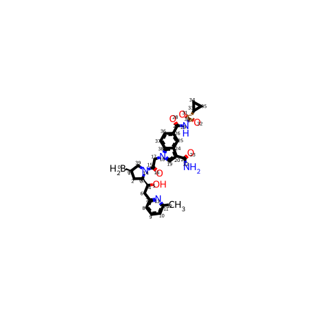 B[C@@H]1C[C@H](C(O)Cc2cccc(C)n2)N(C(=O)Cn2cc(C(N)=O)c3cc(C(=O)NS(=O)(=O)C4CC4)ccc32)C1